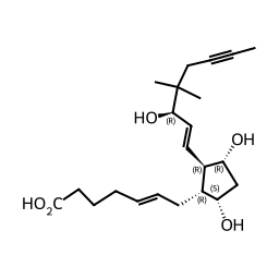 CC#CCC(C)(C)[C@H](O)C=C[C@@H]1[C@@H](CC=CCCCC(=O)O)[C@@H](O)C[C@H]1O